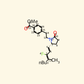 CCCC/C(C)=C(F)/C=C/[C@H]1CCC(=O)N1CCc1ccc(C(=O)OC)cc1